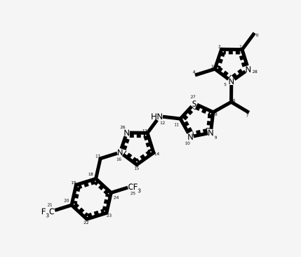 Cc1cc(C)n(C(C)c2nnc(Nc3ccn(Cc4cc(C(F)(F)F)ccc4C(F)(F)F)n3)s2)n1